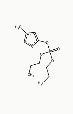 CCCOP(=O)(OCCC)Oc1cc(C)cs1